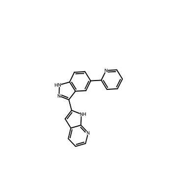 c1ccc(-c2ccc3[nH]nc(-c4cc5cccnc5[nH]4)c3c2)nc1